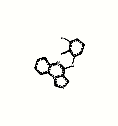 Cc1c(Br)cccc1Nc1nc2ccccc2n2cncc12